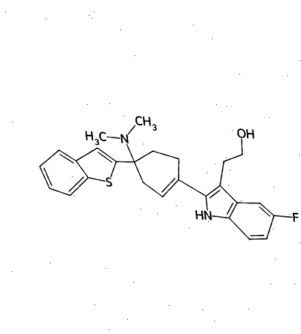 CN(C)C1(c2cc3ccccc3s2)CC=C(c2[nH]c3ccc(F)cc3c2CCO)CC1